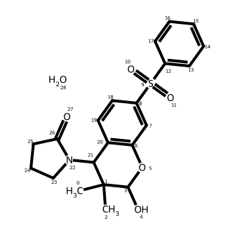 CC1(C)C(O)Oc2cc(S(=O)(=O)c3ccccc3)ccc2C1N1CCCC1=O.O